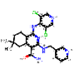 CC1(C)CCc2c(Nc3c(Cl)cncc3Cl)nc(NCc3cccnc3)c(C(N)=O)c2C1